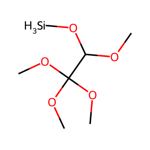 COC(O[SiH3])C(OC)(OC)OC